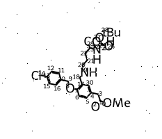 COC(=O)Cc1ccc(OCc2ccc(Cl)cc2)c(CNCCCC(NC(=O)OC(C)(C)C)C(=O)O)c1